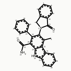 Cc1c(N2Cc3ccccc3C2=O)c(-c2ccccc2)c(C(N)=O)c2[nH]c3ccccc3c12